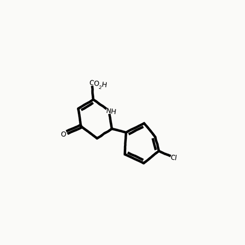 O=C1C=C(C(=O)O)NC(c2ccc(Cl)cc2)C1